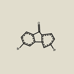 O=C1c2ccc(Br)cc2-c2cc(Br)ccc21